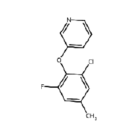 Cc1cc(F)c(Oc2cccnc2)c(Cl)c1